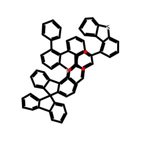 c1ccc(-c2ccccc2-c2c(-c3ccccc3)cccc2N(c2ccc(-c3cccc4sc5ccccc5c34)cc2)c2cccc3c2-c2ccccc2C32c3ccccc3-c3ccccc32)cc1